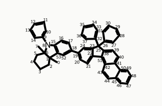 CC12CCCCC1(C)N(c1ccccc1)c1ccc(-c3ccc4c(c3)C(c3ccccc3)(c3ccccc3)c3ccc5c(ccc6ccccc65)c3-4)cc12